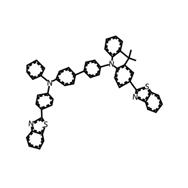 CC1(C)c2ccccc2N(c2ccc(-c3ccc(N(c4ccccc4)c4ccc(-c5nc6ccccc6s5)cc4)cc3)cc2)c2ccc(-c3nc4ccccc4s3)cc21